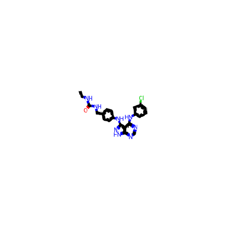 CCNC(=O)NCc1ccc(Nc2n[nH]c3ncnc(Nc4cccc(Cl)c4)c23)cc1